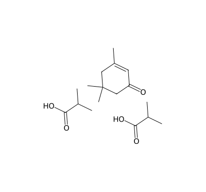 CC(C)C(=O)O.CC(C)C(=O)O.CC1=CC(=O)CC(C)(C)C1